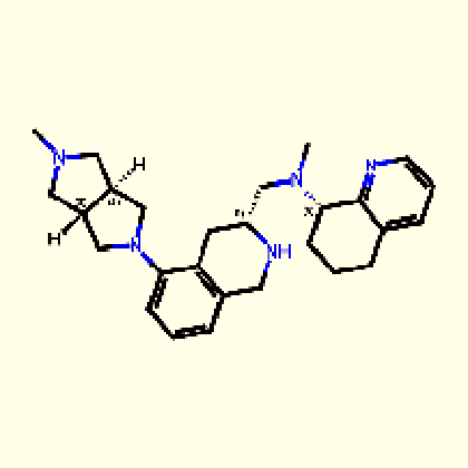 CN1C[C@H]2CN(c3cccc4c3C[C@H](CN(C)[C@H]3CCCc5cccnc53)NC4)C[C@@H]2C1